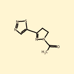 CC(=O)N1CCC(c2cnns2)=N1